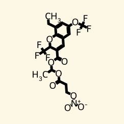 CCc1cc(OC(F)(F)F)cc2c1OC(C(F)(F)F)C(C(=O)OC(C)OC(=O)CCO[N+](=O)[O-])=C2